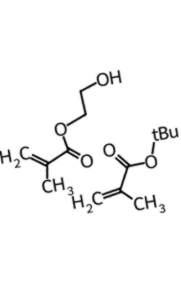 C=C(C)C(=O)OC(C)(C)C.C=C(C)C(=O)OCCO